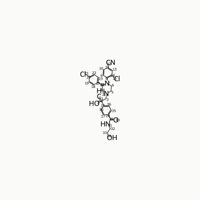 C[C@](O)(CN1CCN(c2ccc(C#N)cc2Cl)[C@H](c2ccc(Cl)cc2)C1)c1ccc(C(=O)NCCO)cc1